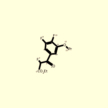 CCOC(=O)C(F)C(=O)c1cc(F)c(F)c(OC(C)C)c1